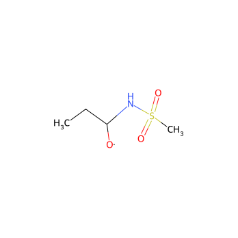 CCC([O])NS(C)(=O)=O